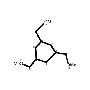 COCC1CC(COC)CC(COC)C1